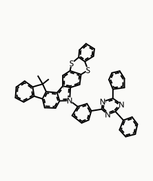 CC1(C)c2ccccc2-c2ccc3c(c21)c1cc2c(cc1n3-c1cccc(-c3nc(-c4ccccc4)nc(-c4ccccc4)n3)c1)Sc1ccccc1S2